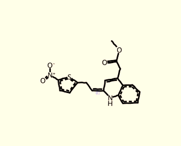 COC(=O)CC1=C/C(=C\Cc2ccc([N+](=O)[O-])s2)Nc2ccccc21